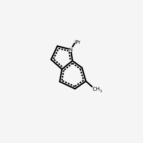 Cc1ccc2ccn(C(C)C)c2c1